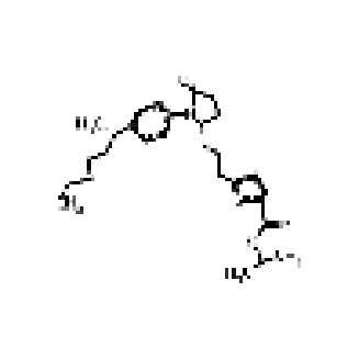 CCCCC[C@H](C)c1ccc(N2C(=O)CC[C@@H]2CCCc2ccc(C(=O)OC(C)C)s2)cc1